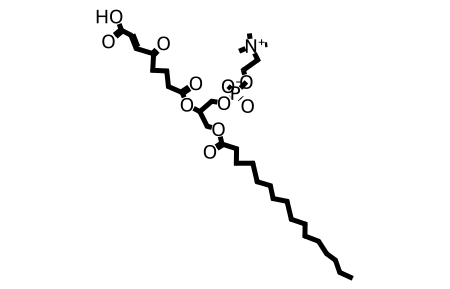 CCCCCCCCCCCCCCCC(=O)OCC(COP(=O)([O-])OCC[N+](C)(C)C)OC(=O)CCCC(=O)/C=C/C(=O)O